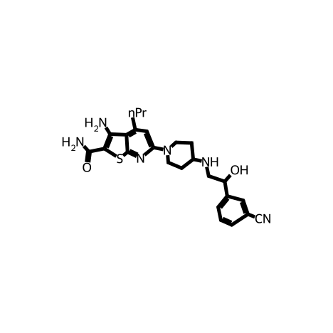 CCCc1cc(N2CCC(NCC(O)c3cccc(C#N)c3)CC2)nc2sc(C(N)=O)c(N)c12